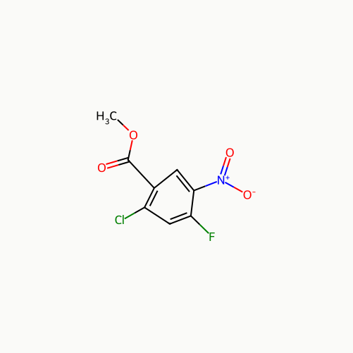 COC(=O)c1cc([N+](=O)[O-])c(F)cc1Cl